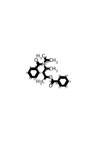 CC(CC(C)N(C(=O)c1ccccc1)C(C)C)OC(=O)c1ccccc1